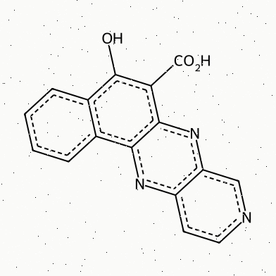 O=C(O)c1c(O)c2ccccc2c2nc3ccncc3nc12